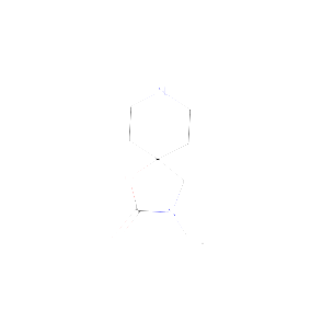 CCCCN1CC2(CCNCC2)OC1=O